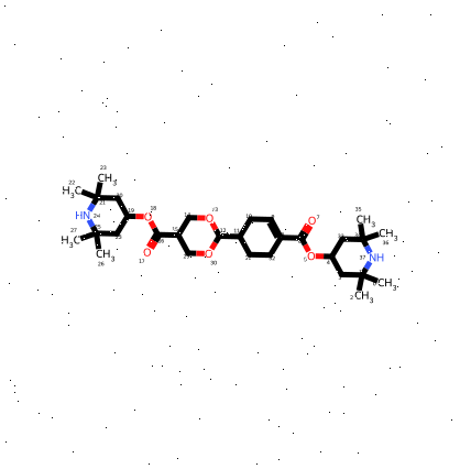 CC1(C)CC(OC(=O)C2=CCC(C3OCC(C(=O)OC4CC(C)(C)NC(C)(C)C4)CO3)CC2)CC(C)(C)N1